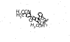 CC(C)(O)c1cc2c(c(-c3ccccc3OCC(F)F)n1)CN(c1ccc(C(C)(C)C#N)cc1)C2=O